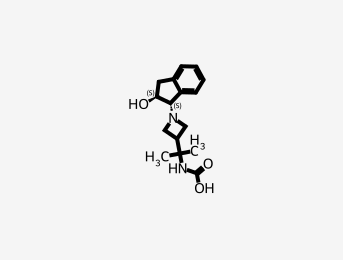 CC(C)(NC(=O)O)C1CN([C@H]2c3ccccc3C[C@@H]2O)C1